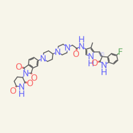 Cc1c(NC(=O)CN2CCN(C3CCN(c4ccc5c(c4)C(=O)N(C4CCC(=O)NC4=O)C5=O)CC3)CC2)c[nH]c1/C=C1\C(=O)Nc2ccc(F)cc21